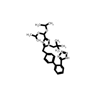 CC(C)OC(OC(C)C)c1nc(Cc2ccc(-c3ccccc3-c3nnn[nH]3)cc2)n(CC(C)(C)C)n1